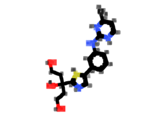 OCCC(O)(CCO)c1ncc(-c2cccc(Nc3nccc(C(F)(F)F)n3)c2)s1